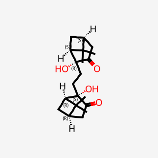 CC1(C)[C@H]2CC(=O)[C@](O)(CC[C@]3(O)C(=O)C[C@@H]4C[C@H]3C4(C)C)[C@@H]1C2